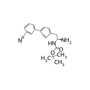 CC(C)(C)OC(=O)N[C@H](N)Cc1ccc(-c2cccc(C#N)c2)cc1